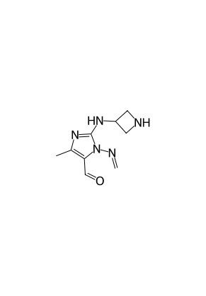 C=Nn1c(NC2CNC2)nc(C)c1C=O